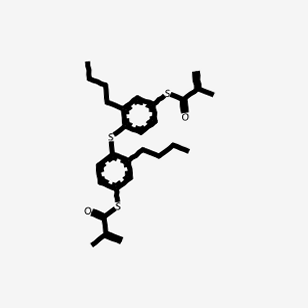 C=C(C)C(=O)Sc1ccc(Sc2ccc(SC(=O)C(=C)C)cc2CCCC)c(CCCC)c1